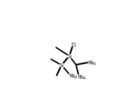 CC(C)(C)C(C(C)(C)C)[Si](C)(Cl)[Si](C)(C)C(C)(C)C